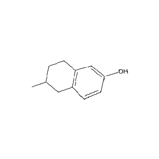 CC1CCc2cc(O)ccc2C1